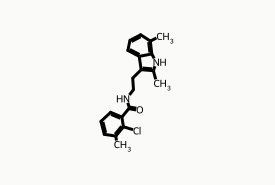 Cc1cccc(C(=O)NCCc2c(C)[nH]c3c(C)cccc23)c1Cl